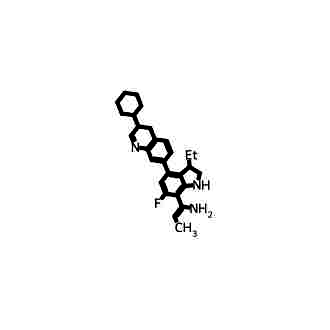 C/C=C(\N)c1c(F)cc(-c2ccc3c(c2)N=CC(C2CCCCC2)C3)c2c1NCC2CC